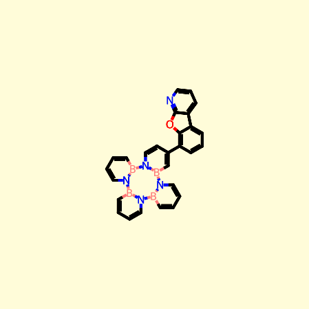 C1=CB2N(C=C1)B1C=CC=CN1B1C=C(c3cccc4c3oc3ncccc34)C=CN1B1C=CC=CN21